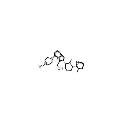 Cc1cccnc1[C@@H]1CCC[C@H](c2nc3cccc(N4CCN(C(C)C)CC4)n3c2CO)N1C